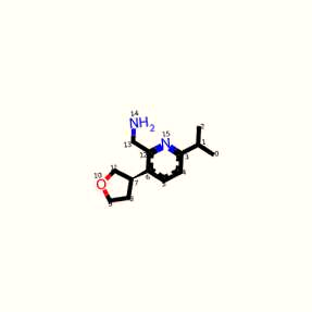 CC(C)c1ccc([C@H]2CCOC2)c(CN)n1